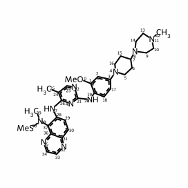 COc1cc(N2CCC(N3CCN(C)CC3)CC2)ccc1Nc1ncc(C)c(Nc2ccc3nccnc3c2N(C)SC)n1